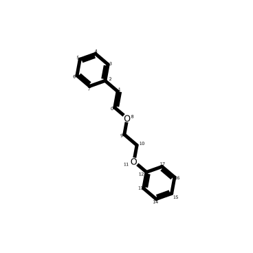 C(=Cc1ccccc1)OCCOc1ccccc1